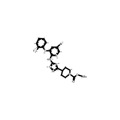 CC(C)(C)OC(=O)N1CCC(c2nsc(Nc3ncc(Br)cc3Oc3ccccc3C(F)(F)F)n2)CC1